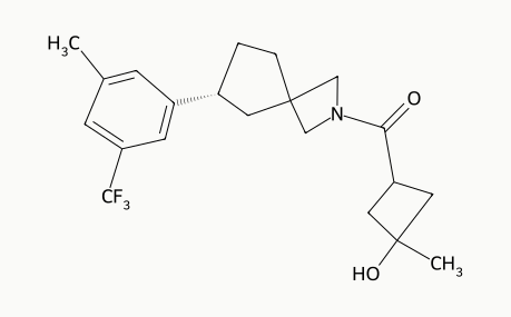 Cc1cc([C@@H]2CCC3(C2)CN(C(=O)C2CC(C)(O)C2)C3)cc(C(F)(F)F)c1